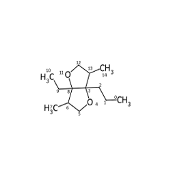 CCCC12OCC(C)C1(CC)OCC2C